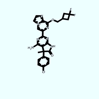 CC1(c2ccc(Cl)cc2)C(=O)Nc2nc(-c3cn4ccnc4c(OCC4CC(F)(F)C4)n3)nc(N)c21